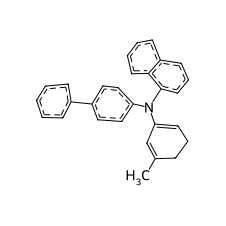 CC1=CC(N(c2ccc(-c3ccccc3)cc2)c2cccc3ccccc23)=CCC1